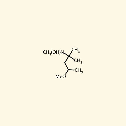 COC(C)CC(C)(C)N(C)O